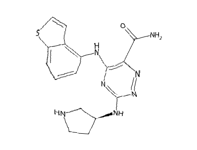 NC(=O)c1nnc(N[C@H]2CCNC2)nc1Nc1cccc2sccc12